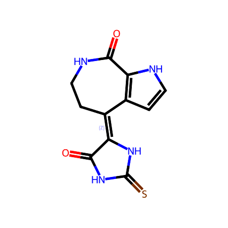 O=C1NC(=S)N/C1=C1/CCNC(=O)c2[nH]ccc21